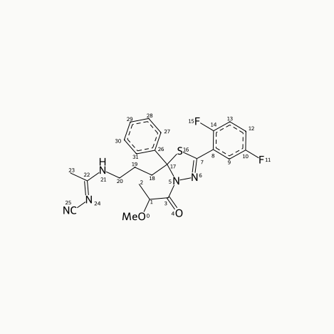 COC(C)C(=O)N1N=C(c2cc(F)ccc2F)SC1(CCCNC(C)=NC#N)c1ccccc1